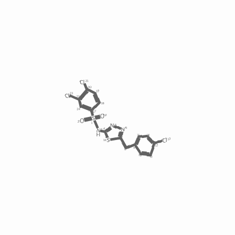 O=S(=O)(Nc1nnc(Cc2ccc(Cl)cc2)s1)c1ccc(Cl)c(Cl)c1